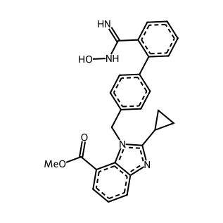 COC(=O)c1cccc2nc(C3CC3)n(Cc3ccc(-c4ccccc4C(=N)NO)cc3)c12